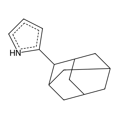 c1c[nH]c(C2C3CC4CC(C3)CC2C4)c1